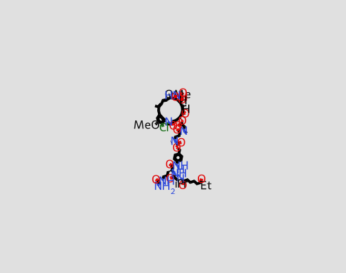 CCC(=O)CCCCC(=O)N[C@H](C(=O)N[C@@H](CCCNC(N)=O)C(=O)Nc1ccc(COC(=O)N(C)CCC(=O)N(C)CC(=O)O[C@H]2CC(=O)N(C)c3cc(cc(OC)c3Cl)C/C(C)=C/C=C/[C@@H](OC)[C@@]3(O)C[C@H](OC(=O)N3)[C@@H](C)[C@@H]3O[C@@]23C)cc1)C(C)C